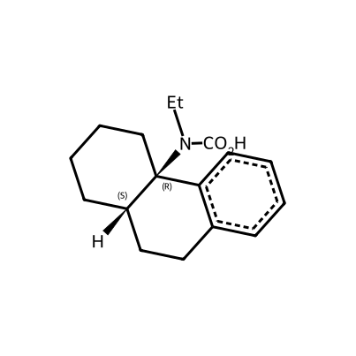 CCN(C(=O)O)[C@]12CCCC[C@H]1CCc1ccccc12